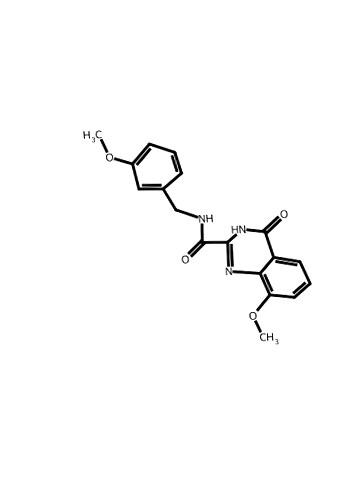 COc1cccc(CNC(=O)c2nc3c(OC)cccc3c(=O)[nH]2)c1